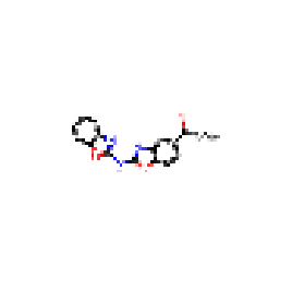 COC(=O)c1ccc2oc(Nc3nc4ccccc4o3)nc2c1